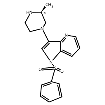 C[C@H]1CN(c2cn(S(=O)(=O)c3ccccc3)c3cccnc23)CCN1